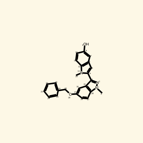 Cn1nc(-c2cc3cc(O)ccc3n2C)c2cc(OCc3ccccc3)ccc21